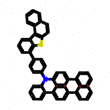 c1ccc(-c2ccc(-c3ccccc3N(c3ccc(-c4ccccc4)cc3)c3ccc(-c4cccc5c4sc4ccc6ccccc6c45)cc3)cc2)cc1